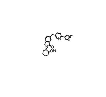 Cn1cc(-c2ccc(Cc3ccc4c(c3)C(=O)N([C@@H]3CCCC[C@H]3O)C4)cn2)cn1